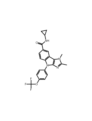 Cc1nc2c(c3cc(C(=O)NC4CC4)ccc3n2-c2ccc(OC(F)(F)F)cc2)n1C